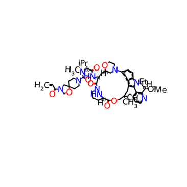 C=CC(=O)N1COC2(CCN(C(=O)N(C)[C@H](C(=O)N[C@H]3C[C@H]4CN(CCO4)c4ccc5c(c4)c(c(-c4cccnc4[C@H](C)OC)n5CC)CC(C)(C)COC(=O)[C@@H]4CCCN(N4)C3=O)C(C)C)CC2)C1